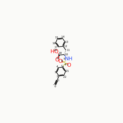 [C]#Cc1ccc(S(=O)(=O)N[C@@H](Cc2ccccc2)C(=O)O)cc1